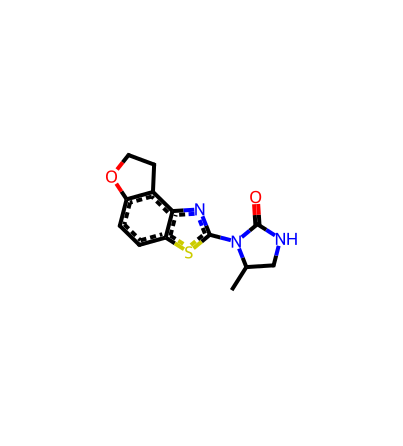 CC1CNC(=O)N1c1nc2c3c(ccc2s1)OCC3